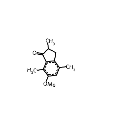 COc1cc(C)c2c(c1C)C(=O)C(C)C2